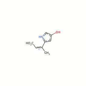 C/C(=C/C(=O)O)c1cc(O)c[nH]1